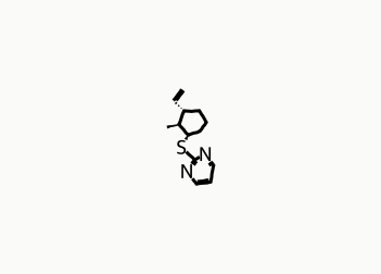 C=C[C@@H]1CCC[C@@H](Sc2ncccn2)[C@H]1C